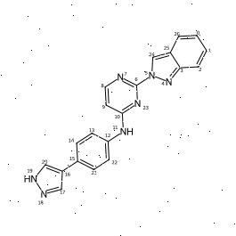 [c]1ccc2nn(-c3nccc(Nc4ccc(-c5cn[nH]c5)cc4)n3)cc2c1